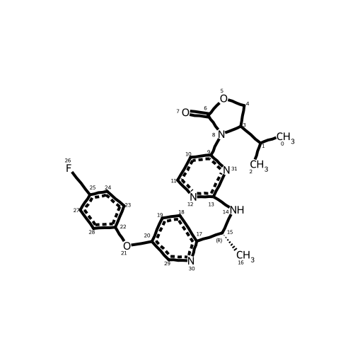 CC(C)C1COC(=O)N1c1ccnc(N[C@H](C)c2ccc(Oc3ccc(F)cc3)cn2)n1